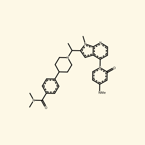 CNc1ccn(-c2ccnc3c2cc(C(C)N2CCC(c4ccc(C(=O)N(C)C)cc4)CC2)n3C)c(=O)c1